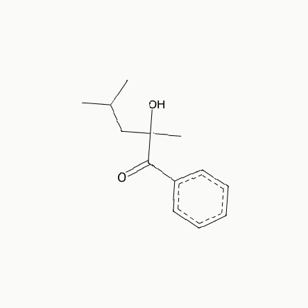 CC(C)CC(C)(O)C(=O)c1ccccc1